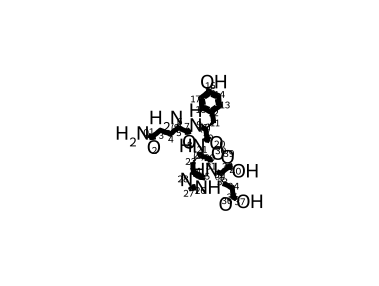 NC(=O)CC[C@H](N)C(=O)N[C@@H](Cc1ccc(O)cc1)C(=O)N[C@@H](Cc1c[nH]cn1)C(=O)N[C@@H](CCC(=O)O)C(=O)O